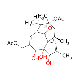 CC(=O)OCC1=CC2C(=O)C3(C=C(C)C(O)C3(O)C1O)[C@H](C)C[C@@](C)(OC(C)=O)C2(C)C